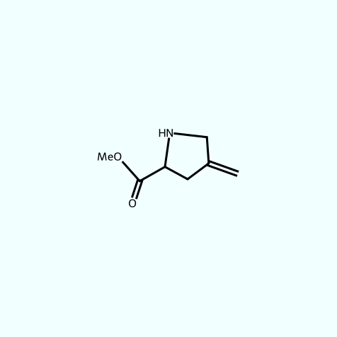 C=C1CNC(C(=O)OC)C1